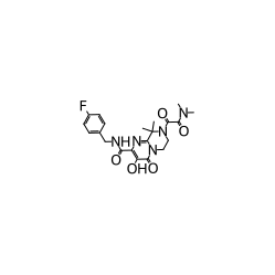 CN(C)C(=O)C(=O)N1CCn2c(nc(C(=O)NCc3ccc(F)cc3)c(O)c2=O)C1(C)C